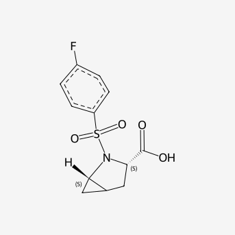 O=C(O)[C@@H]1CC2C[C@@H]2N1S(=O)(=O)c1ccc(F)cc1